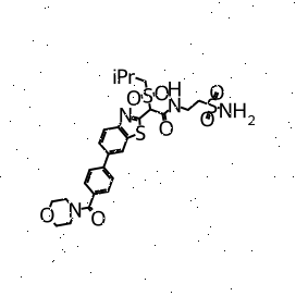 CC(C)CS(=O)(=O)C(C(=O)NCCS(N)(=O)=O)c1nc2ccc(-c3ccc(C(=O)N4CCOCC4)cc3)cc2s1